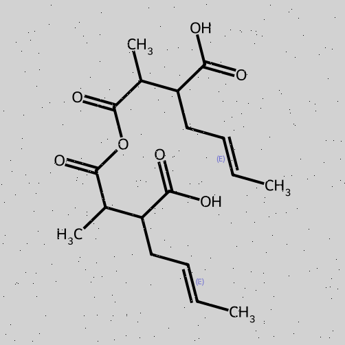 C/C=C/CC(C(=O)O)C(C)C(=O)OC(=O)C(C)C(C/C=C/C)C(=O)O